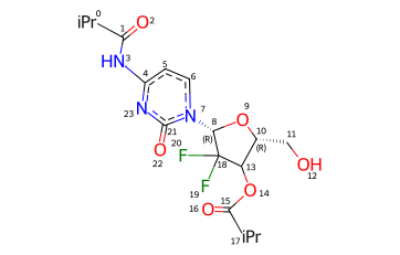 CC(C)C(=O)Nc1ccn([C@@H]2O[C@H](CO)C(OC(=O)C(C)C)C2(F)F)c(=O)n1